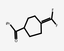 CC(C)C(=O)C1CCC(=C(F)F)CC1